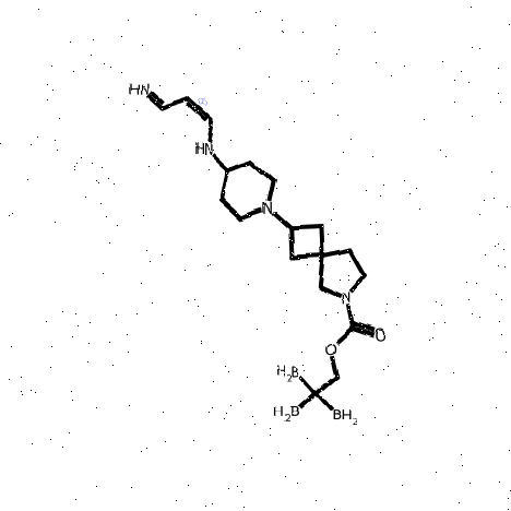 BC(B)(B)COC(=O)N1CCC2(CC(N3CCC(N/C=C\C=N)CC3)C2)C1